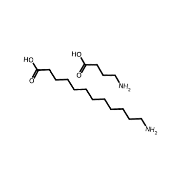 NCCCC(=O)O.NCCCCCCCCCCCC(=O)O